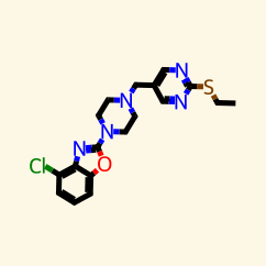 CCSc1ncc(CN2CCN(c3nc4c(Cl)cccc4o3)CC2)cn1